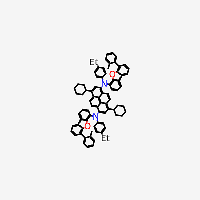 CCc1ccc(N(c2cc(C3CCCCC3)c3ccc4c(N(c5ccc(CC)cc5)c5cccc6c5oc5c(-c7ccccc7C)cccc56)cc(C5CCCCC5)c5ccc2c3c54)c2cccc3c2oc2c(-c4ccccc4C)cccc23)cc1